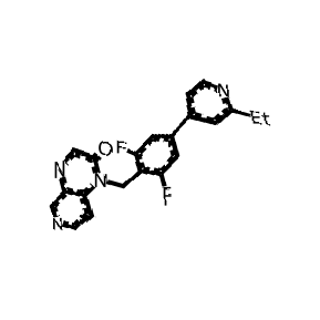 CCc1cc(-c2cc(F)c(Cn3c(=O)cnc4cnccc43)c(F)c2)ccn1